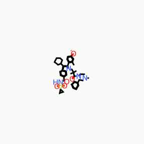 COc1ccc(-c2c(C3CCCCC3)c3ccc(C(=O)NS(=O)(=O)C4CC4)cc3n2CC(C)(C)C(=O)N2CCN(C)CC2c2ccccc2)c(C)c1